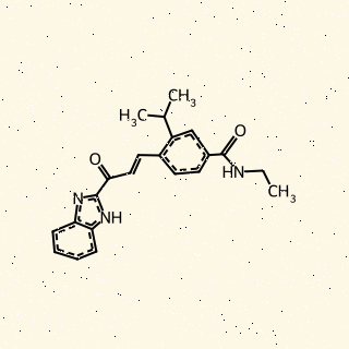 CCNC(=O)c1ccc(C=CC(=O)c2nc3ccccc3[nH]2)c(C(C)C)c1